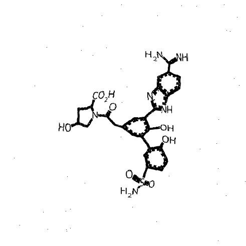 N=C(N)c1ccc2[nH]c(-c3cc(CC(=O)N4CC(O)CC4C(=O)O)cc(-c4cc(S(N)(=O)=O)ccc4O)c3O)nc2c1